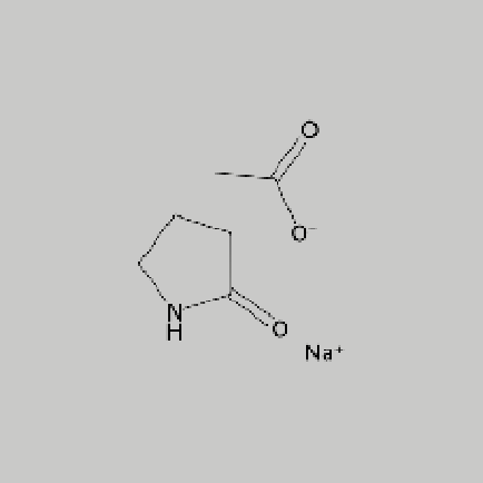 CC(=O)[O-].O=C1CCCN1.[Na+]